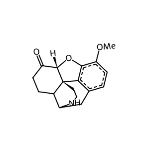 COc1ccc2c3c1O[C@H]1C(=O)CCC4C(C2)NCC[C@@]341